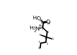 CCCC(C)(C)C[C@@H](N)C(=O)O